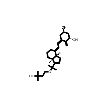 C=C1/C(=C\C=C2/CCC[C@]3(C)C(C(C)(C)OCCC(C)(C)O)=CC[C@@H]23)C[C@@H](O)C[C@@H]1O